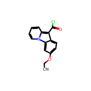 N#CCOc1ccc2c(C(=O)Cl)c3ccccn3c2c1